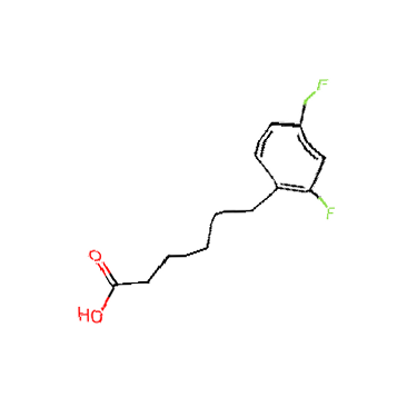 O=C(O)CCCCCc1ccc(F)cc1F